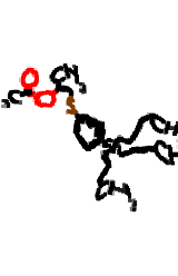 CCC[CH2][Sn]([CH2]CCC)([CH2]CCC)[c]1ccc(SCC(C)OC(C)=O)cc1